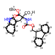 CC(C)(C)OC(=O)[C@@](Cc1c[nH]c2ccccc12)(NC(=O)OCC1c2ccccc2-c2ccccc21)C(=O)O